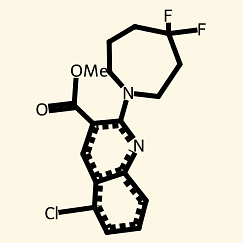 COC(=O)c1cc2c(Cl)cccc2nc1N1CCCC(F)(F)CC1